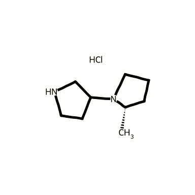 C[C@H]1CCCN1C1CCNC1.Cl